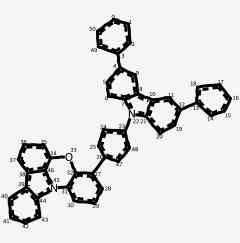 c1ccc(-c2ccc3c(c2)c2cc(-c4ccccc4)ccc2n3-c2ccc(-c3cccc4c3Oc3cccc5c6ccccc6n-4c35)cc2)cc1